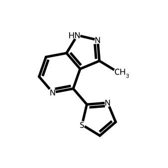 Cc1n[nH]c2ccnc(-c3nccs3)c12